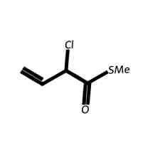 C=CC(Cl)C(=O)SC